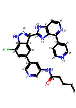 CCCCC(=O)Nc1cncc(-c2cc(F)c3[nH]nc(-c4nc5c(-c6ccncc6)nccc5[nH]4)c3c2)c1